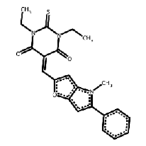 CCN1C(=O)C(=Cc2cc3c(cc(-c4ccccc4)n3C)o2)C(=O)N(CC)C1=S